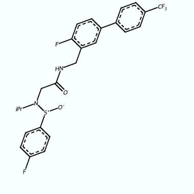 CC(C)N(CC(=O)NCc1cc(-c2ccc(C(F)(F)F)cc2)ccc1F)[S+]([O-])c1ccc(F)cc1